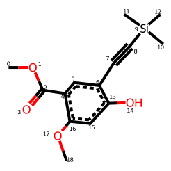 COC(=O)c1cc(C#C[Si](C)(C)C)c(O)cc1OC